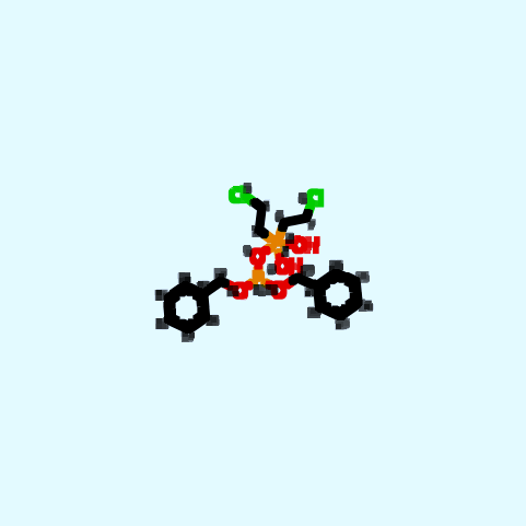 OP(O)(CCCl)(CCCl)OP(OCc1ccccc1)OCc1ccccc1